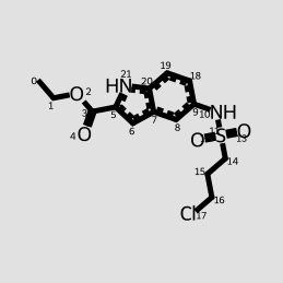 CCOC(=O)c1cc2cc(NS(=O)(=O)CCCCl)ccc2[nH]1